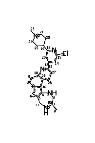 C[C@@H]1CNc2c(sc3ccc4nc(-c5cc(Cl)nc(C6CCN(C)CC6)c5)ccc4c23)CN1